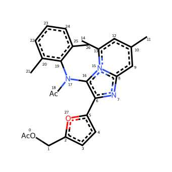 CC(=O)OCc1ccc(-c2nc3cc(C)cc(C)n3c2N(C(C)=O)c2c(C)cccc2C)o1